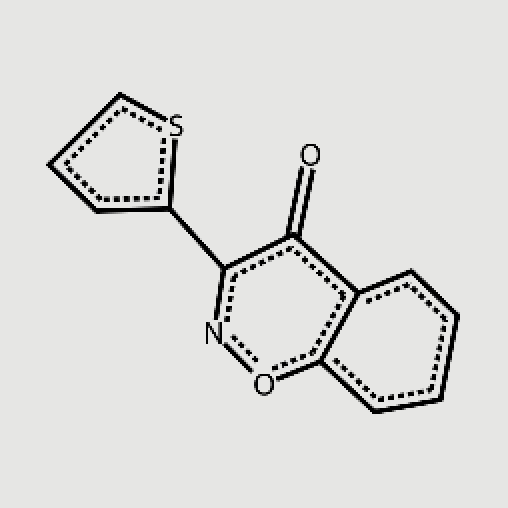 O=c1c(-c2cccs2)noc2ccccc12